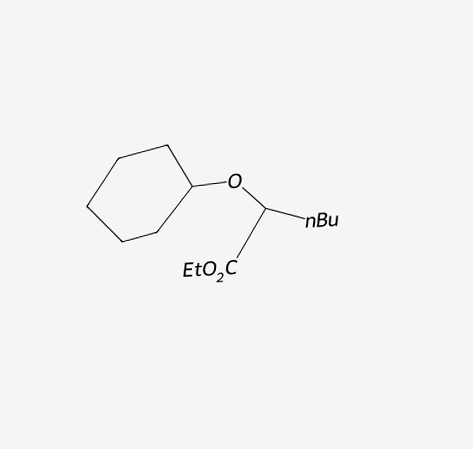 CCCCC(OC1CCCCC1)C(=O)OCC